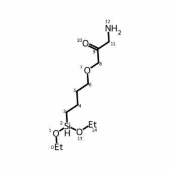 CCO[SiH](CCCCOCC(=O)CN)OCC